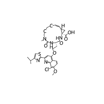 COc1ccc2c(OCC[C@@H]3NC(=O)N(C)CCCC/C=C\[C@@H]4C[C@@]4(C(=O)O)NC3=O)cc(-c3nc(C(C)C)cs3)nc2c1Cl